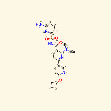 CCC(C)N(CC)c1nc(-c2ccc(OC3CCC3)nc2)ccc1C(=O)NS(=O)(=O)c1cccc(N)n1